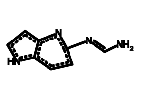 N/C=N/c1ccc2[nH]ccc2n1